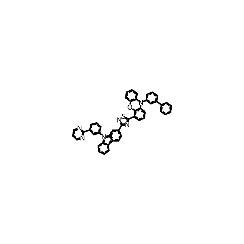 c1ccc(-c2cccc(N3c4ccccc4Oc4c(-c5nc(-c6ccc7c8ccccc8n(-c8cccc(-c9ncccn9)c8)c7c6)ns5)cccc43)c2)cc1